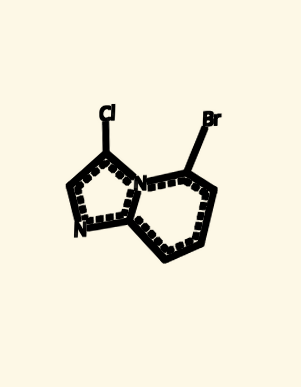 Clc1cnc2cccc(Br)n12